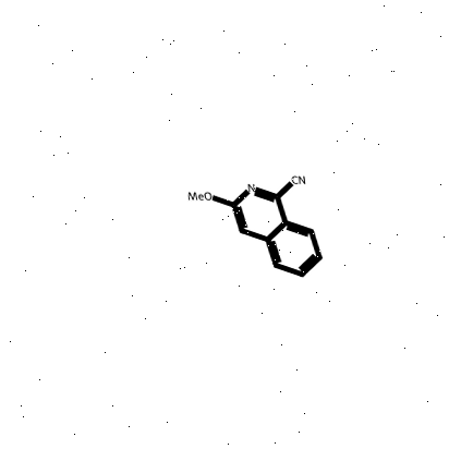 COc1cc2ccccc2c(C#N)n1